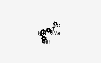 COc1cc(-c2ccc3ncc(-c4cnc5[nH]ccc5c4)n3n2)ccc1OCCN1CCCC1=O